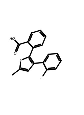 Cc1cc(-c2ccccc2F)c(-c2ccccc2C(=O)O)s1